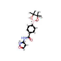 CC1(C)OB(c2ccc(C(=O)Nc3ccon3)cc2)OC1(C)C